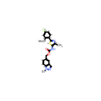 CCn1ncc2cc(COC(=O)Nc3sc(-c4ccc(F)cc4OC)nc3C)ccc21